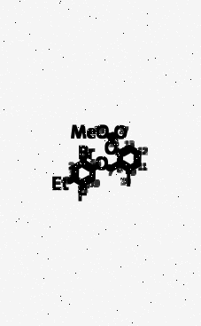 CCc1cc(Br)c(OCc2c(I)cccc2OC(=O)OC)cc1F